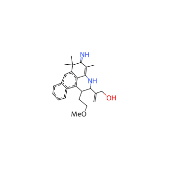 C=C(CO)C1NC2=C(C)C(=N)C(C)(C)c3cc4ccccc4c(c32)C1CCOC